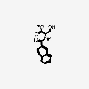 COC(=O)C(CO)NC(=O)c1ccc2ccccc2c1